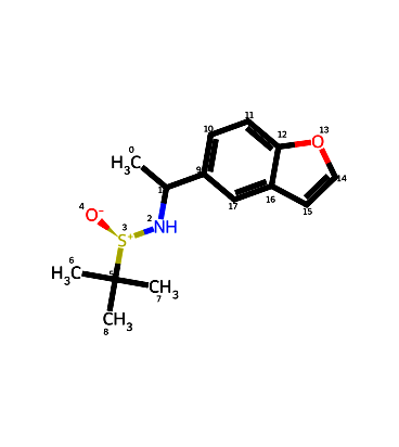 CC(N[S@+]([O-])C(C)(C)C)c1ccc2occc2c1